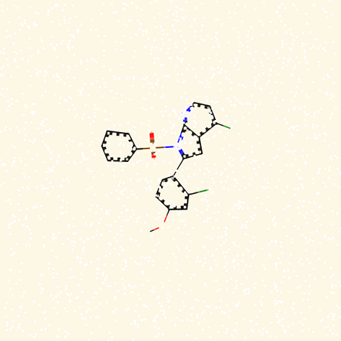 COc1ccc(-c2cc3c(Cl)ccnc3n2S(=O)(=O)c2ccccc2)c(F)c1